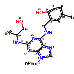 CCCCCn1cnc2c(NCc3cc(I)ccc3O)nc(NC(CO)C(C)C)nc21